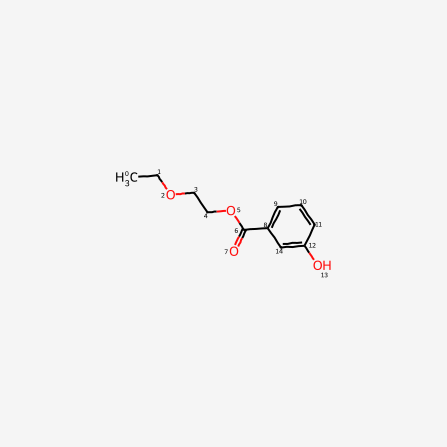 CCOCCOC(=O)c1cccc(O)c1